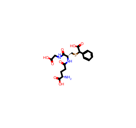 N[C@@H](CCC(=O)N[C@@H](CSC(C(=O)O)c1ccccc1)C(=O)NCC(=O)O)C(=O)O